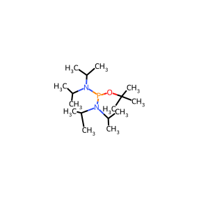 CC(C)N(C(C)C)P(OC(C)(C)C)N(C(C)C)C(C)C